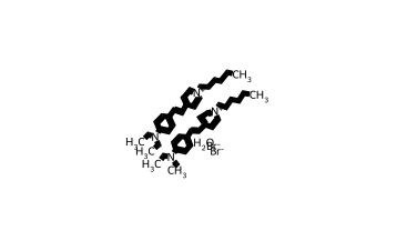 CCCCCC[n+]1ccc(C=Cc2ccc(N(CC)CC)cc2)cc1.CCCCCC[n+]1ccc(C=Cc2ccc(N(CC)CC)cc2)cc1.O.[Br-].[Br-]